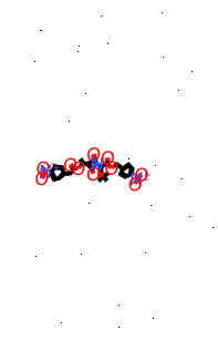 CC(OC(=O)Cc1ccc([N+](=O)[O-])cc1)C1C(=O)N2C(C(=O)OCc3ccc([N+](=O)[O-])cc3)=C(C(C)(C)C)OC12